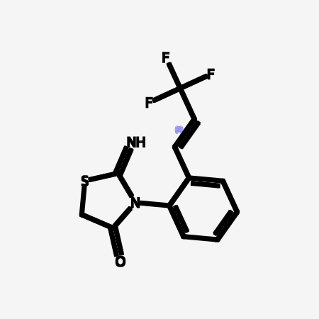 N=C1SCC(=O)N1c1ccccc1/C=C/C(F)(F)F